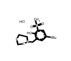 CC(C)(C)c1cc(CN2CCSCC2)c(O)c(S(C)(=O)=O)c1.Cl